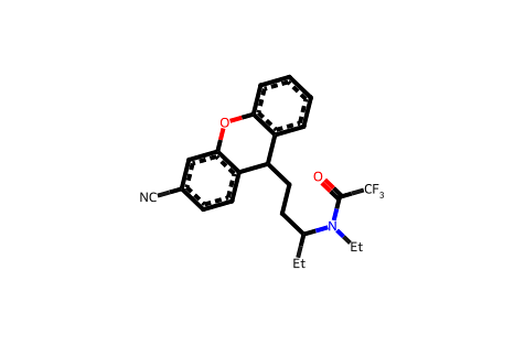 CCC(CCC1c2ccccc2Oc2cc(C#N)ccc21)N(CC)C(=O)C(F)(F)F